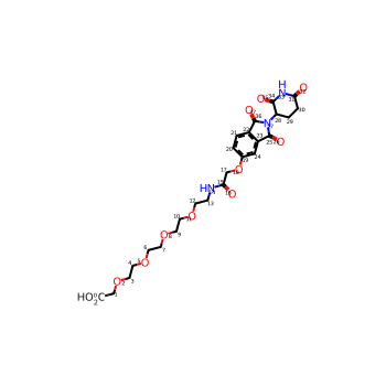 O=C(O)COCCOCCOCCOCCNC(=O)COc1ccc2c(c1)C(=O)N(C1CCC(=O)NC1=O)C2=O